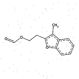 Cc1c(CCOC=O)oc2ccccc12